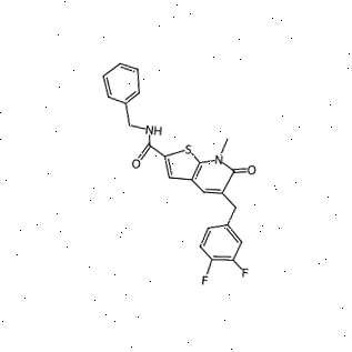 Cn1c(=O)c(Cc2ccc(F)c(F)c2)cc2cc(C(=O)NCc3ccccc3)sc21